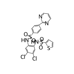 O=S(=O)(Nc1cc(Cl)c(Cl)cc1NS(=O)(=O)c1cccs1)c1ccc(-c2ncccn2)cc1